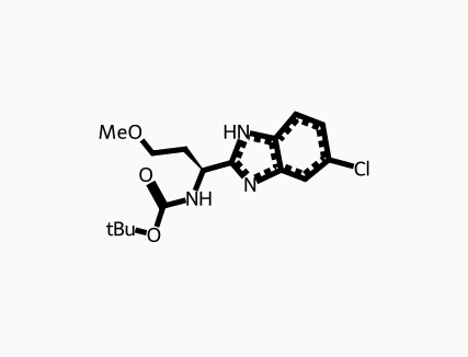 COCC[C@H](NC(=O)OC(C)(C)C)c1nc2cc(Cl)ccc2[nH]1